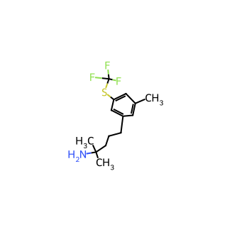 Cc1cc(CCCC(C)(C)N)cc(SC(F)(F)F)c1